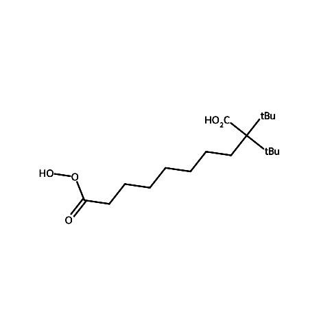 CC(C)(C)C(CCCCCCCC(=O)OO)(C(=O)O)C(C)(C)C